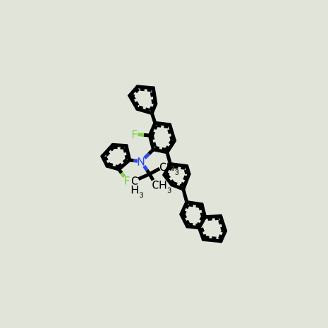 CC(C)(C)N(c1ccccc1F)c1c(-c2ccc(-c3ccc4ccccc4c3)cc2)ccc(-c2ccccc2)c1F